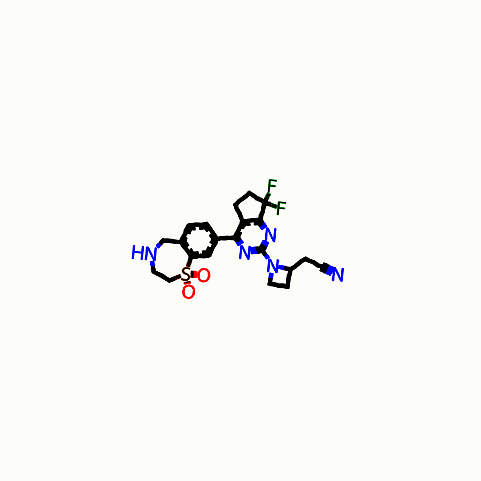 N#CCC1CCN1c1nc(-c2ccc3c(c2)S(=O)(=O)CCNC3)c2c(n1)C(F)(F)CC2